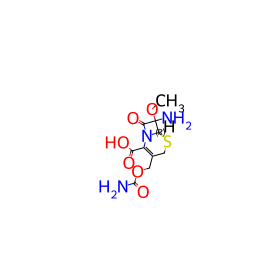 COC1(N)C(=O)N2C(C(=O)O)=C(COC(N)=O)CS[C@@H]21